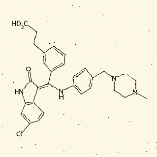 CN1CCN(Cc2ccc(NC(=C3C(=O)Nc4cc(Cl)ccc43)c3cccc(CCC(=O)O)c3)cc2)CC1